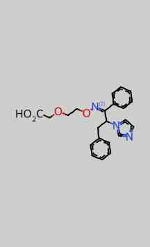 O=C(O)COCCO/N=C(/c1ccccc1)C(Cc1ccccc1)n1ccnc1